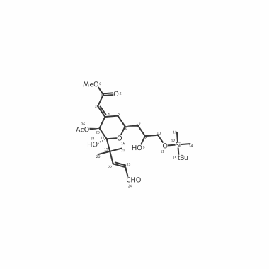 COC(=O)/C=C1\C[C@@H](CC(O)CO[Si](C)(C)C(C)(C)C)O[C@@](O)(C(C)(C)/C=C/C=O)[C@H]1OC(C)=O